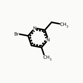 CCc1nc(C)cc(Br)n1